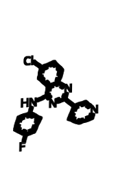 Fc1ccc(Nc2nc(-c3cccnc3)nc3ccc(Cl)cc23)cc1